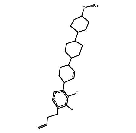 C=CCCc1ccc(C2C=CC(C3CCC(C4CCC(OCCCC)CC4)CC3)CC2)c(F)c1F